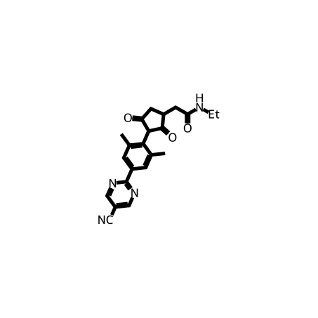 CCNC(=O)CC1CC(=O)C(c2c(C)cc(-c3ncc(C#N)cn3)cc2C)C1=O